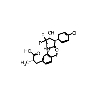 C[C@H]([C@H](C(=O)Nc1cc(C[C@H](C)C(=O)O)ccc1F)C1C=CC(Cl)=CC1)C(F)(F)F